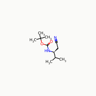 CC(C)[C@H](CC#N)NC(=O)OC(C)(C)C